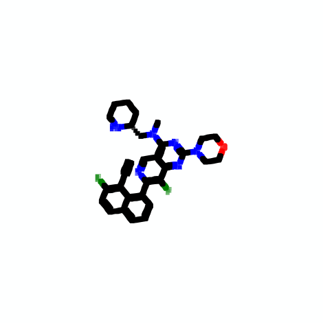 C#Cc1c(F)ccc2cccc(-c3ncc4c(N(C)C[C@H]5CCCCN5)nc(N5CCOCC5)nc4c3F)c12